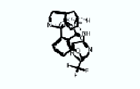 COc1cccc(-c2ncccn2)c1C(=O)N1[C@@H]2CC[C@H]1[C@H](Nc1cnc(C(F)(F)F)cn1)C2